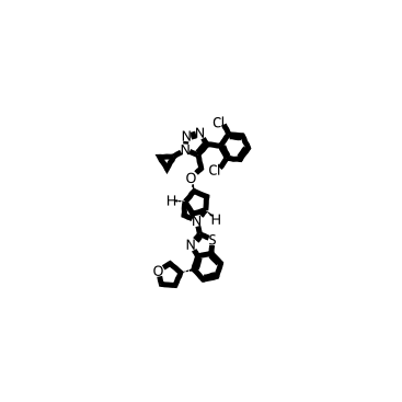 Clc1cccc(Cl)c1-c1nnn(C2CC2)c1CO[C@@H]1C[C@@H]2C[C@H]1CN2c1nc2c([C@@H]3CCOC3)cccc2s1